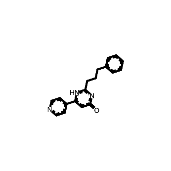 O=c1cc(-c2ccncc2)[nH]c(CCCc2ccccc2)n1